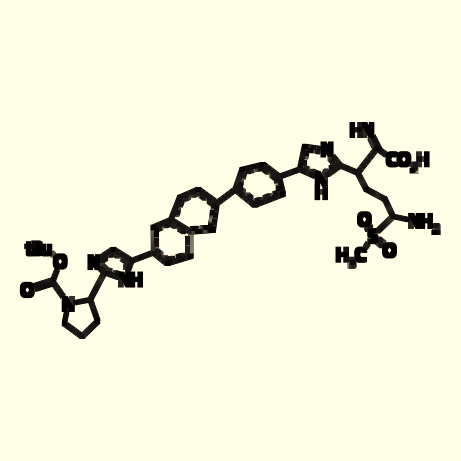 CC(C)(C)OC(=O)N1CCCC1c1ncc(-c2ccc3cc(-c4ccc(-c5cnc(C(CCC(N)S(C)(=O)=O)C(=N)C(=O)O)[nH]5)cc4)ccc3c2)[nH]1